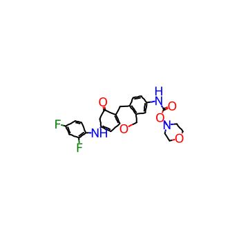 O=C(Nc1ccc2c(c1)COC1=C(C2)C(=O)CC(Nc2ccc(F)cc2F)=C1)ON1CCOCC1